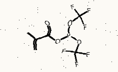 C=C(C)C(=O)OP(OC(F)(F)F)OC(F)(F)F